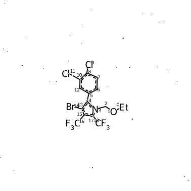 CCOCn1c(-c2ccc(Cl)c(Cl)c2)c(Br)c(C(F)(F)F)c1C(F)(F)F